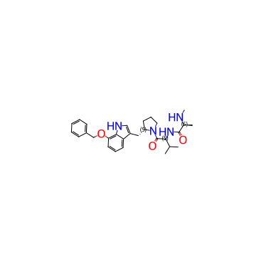 CN[C@@H](C)C(=O)N[C@H](C(=O)N1CCC[C@H]1Cc1c[nH]c2c(OCc3ccccc3)cccc12)C(C)C